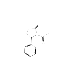 NC(=O)N1C(=O)SCC1c1ccccc1